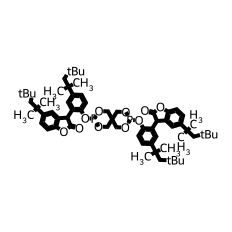 CC(C)(C)CC(C)(C)c1ccc2c(c1)C(c1cc(C(C)(C)CC(C)(C)C)ccc1OP1OCC3(CO1)COP(Oc1ccc(C(C)(C)CC(C)(C)C)cc1C1C(=O)Oc4ccc(C(C)(C)CC(C)(C)C)cc41)OC3)C(=O)O2